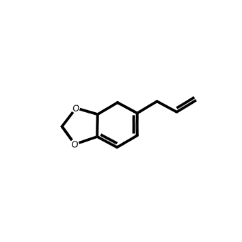 C=CCC1=CC=C2OCOC2C1